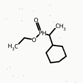 CCO[PH](=O)C(C)C1CCCCC1